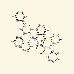 C1=CC2c3ccccc3N(c3ccccc3-c3ccc(N(c4ccc(-c5ccccc5)cc4)c4cccc5ccccc45)c4ccccc34)C2C=C1